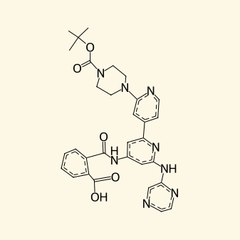 CC(C)(C)OC(=O)N1CCN(c2cc(-c3cc(NC(=O)c4ccccc4C(=O)O)cc(Nc4cnccn4)n3)ccn2)CC1